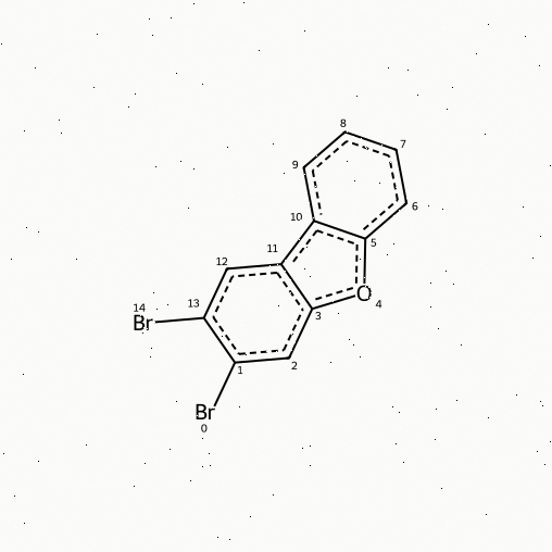 Brc1cc2oc3ccccc3c2cc1Br